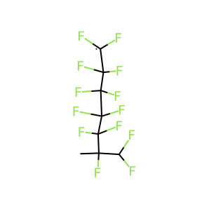 CC(F)(C(F)F)C(F)(F)C(F)(F)C(F)(F)C(F)(F)[C](F)F